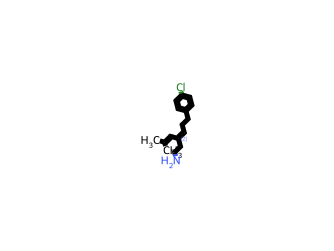 CC(C)=C/C(=C\CCc1ccc(Cl)cc1)CCN